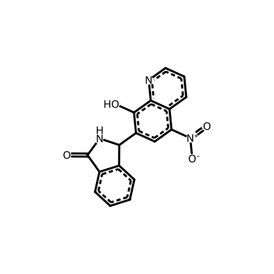 O=C1NC(c2cc([N+](=O)[O-])c3cccnc3c2O)c2ccccc21